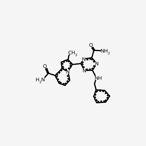 Cc1cc2c(C(N)=O)cccn2c1-c1nc(NCc2ccccc2)nc(C(N)=O)n1